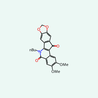 CCCCn1c2c(c3cc(OC)c(OC)cc3c1=O)C(=O)c1cc3c(cc1-2)OCO3